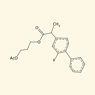 CC(=O)OCCCOC(=O)C(C)c1ccc(-c2ccccc2)c(F)c1